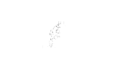 CC(C)N1CCN(C(CN2CCN(CCCc3sc(N)nc3-c3ccccc3)CC2)c2ccc(F)cc2)CC1